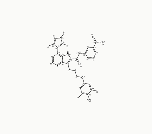 Cc1cc(OCCCc2c(C(=O)Nc3cncc(C(=O)O)c3)[nH]c3c(-c4c(C)nn(C)c4C)cccc23)cc(C)c1Cl